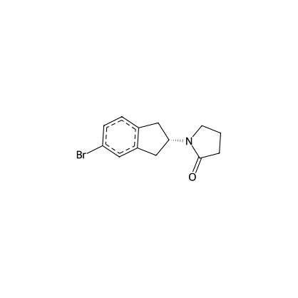 O=C1CCCN1[C@H]1Cc2ccc(Br)cc2C1